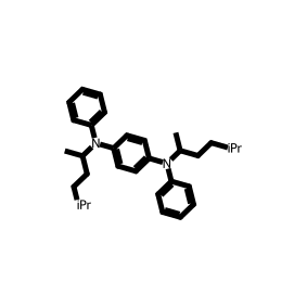 CC(C)CCC(C)N(c1ccccc1)c1ccc(N(c2ccccc2)C(C)CCC(C)C)cc1